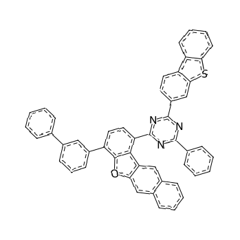 c1ccc(-c2cccc(-c3ccc(-c4nc(-c5ccccc5)nc(-c5ccc6c(c5)sc5ccccc56)n4)c4c3oc3cc5ccccc5cc34)c2)cc1